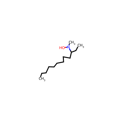 CCCCCCCCCC(CC)N(C)O